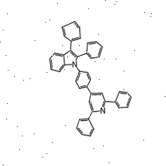 c1ccc(-c2cc(-c3ccc(-n4c(-c5ccccc5)c(-c5ccccc5)c5ccccc54)cc3)cc(-c3ccccc3)n2)cc1